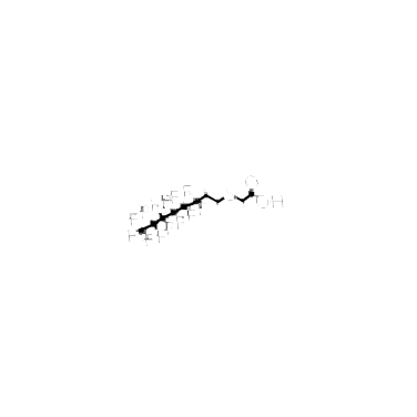 O=C(O)CSCCC(F)(F)C(F)(F)C(F)(F)C(F)(F)C(F)(F)C(F)(F)F